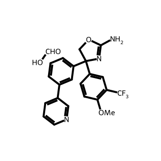 COc1ccc(C2(c3cccc(-c4cccnc4)c3)COC(N)=N2)cc1C(F)(F)F.O=CO